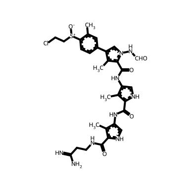 Cc1cc(-c2cn(NC=O)c(C(=O)Nc3c[nH]c(C(=O)Nc4c[nH]c(C(=O)NCCC(=N)N)c4C)c3C)c2C)ccc1[S+]([O-])CCCl